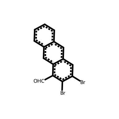 O=Cc1c(Br)c(Br)cc2cc3ccccc3cc12